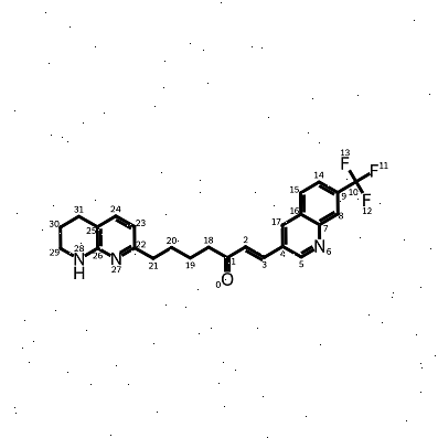 O=C(C=Cc1cnc2cc(C(F)(F)F)ccc2c1)CCCCc1ccc2c(n1)NCCC2